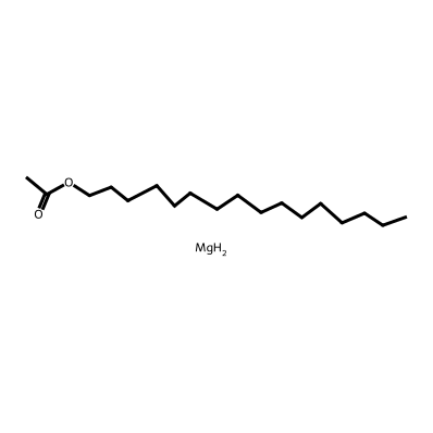 CCCCCCCCCCCCCCCCOC(C)=O.[MgH2]